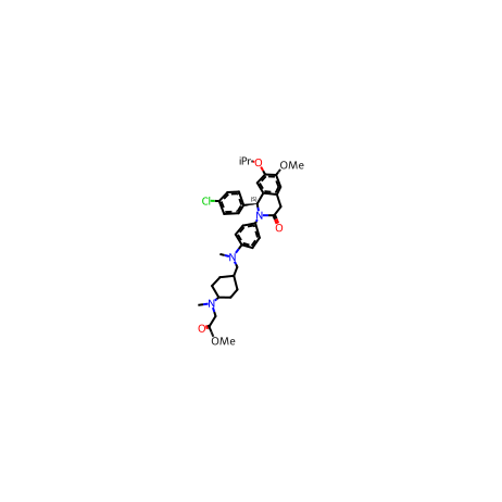 COC(=O)CN(C)C1CCC(CN(C)c2ccc(N3C(=O)Cc4cc(OC)c(OC(C)C)cc4[C@@H]3c3ccc(Cl)cc3)cc2)CC1